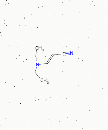 CCN(C=CC#N)CC